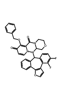 O=C1c2c(OCc3ccccc3)c(=O)ccn2N(C2c3ccccc3-c3occc3-c3c2ccc(F)c3F)C2COCCN12